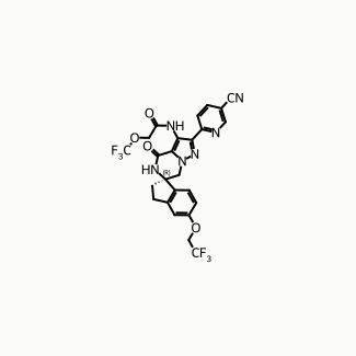 N#Cc1ccc(-c2nn3c(c2NC(=O)COC(F)(F)F)C(=O)N[C@@]2(CCc4cc(OCC(F)(F)F)ccc42)C3)nc1